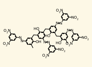 Cc1cc(N=Nc2cc([N+](=O)[O-])cc([N+](=O)[O-])c2)cc(Cc2cc(N=Nc3cc([N+](=O)[O-])cc([N+](=O)[O-])c3)cc(Cc3cc(N=Nc4cc([N+](=O)[O-])cc([N+](=O)[O-])c4)cc(Cc4cc(N=Nc5cc([N+](=O)[O-])cc([N+](=O)[O-])c5)cc(C)c4O)c3O)c2O)c1O